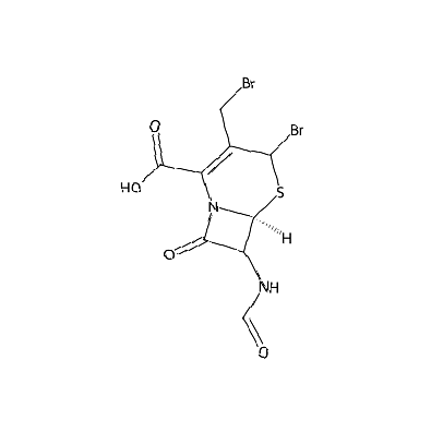 O=CNC1C(=O)N2C(C(=O)O)=C(CBr)C(Br)S[C@@H]12